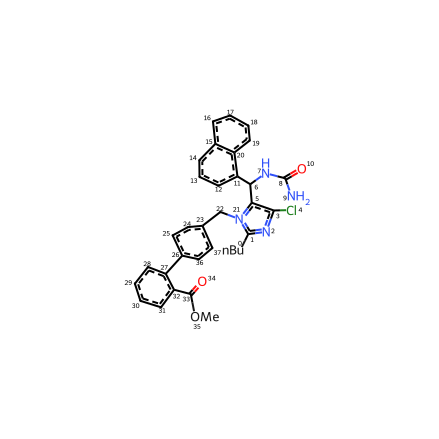 CCCCc1nc(Cl)c(C(NC(N)=O)c2cccc3ccccc23)n1Cc1ccc(-c2ccccc2C(=O)OC)cc1